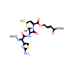 CO/N=C(\C(=O)NC1C(=O)N2C(C(=O)OC/C=C/C(=O)OC)=CCS[C@H]12)c1csc(N)n1.Cl